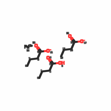 CCCC(=O)O.CCCC(=O)[O-].CCCC(=O)[O-].[Pd+2]